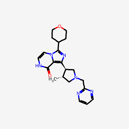 C[C@H]1CN(Cc2ncccn2)C[C@@H]1c1nc(C2CCOCC2)n2cc[nH]c(=O)c12